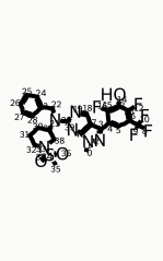 Cn1nc(-c2cc(C(F)(F)F)c(F)c(O)c2F)c2cnc(N(Cc3ccccc3)C3CCCN(S(C)(=O)=O)C3)nc21